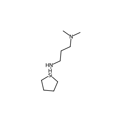 CN(C)CCCN[SiH]1CCCC1